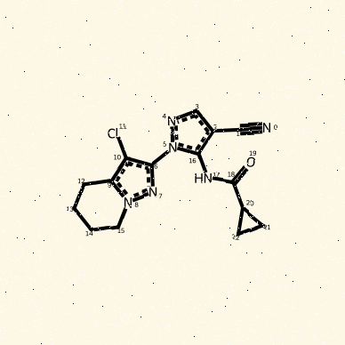 N#Cc1cnn(-c2nn3c(c2Cl)CCCC3)c1NC(=O)C1CC1